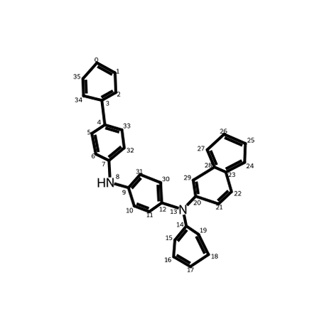 c1ccc(-c2ccc(Nc3ccc(N(c4ccccc4)c4ccc5ccccc5c4)cc3)cc2)cc1